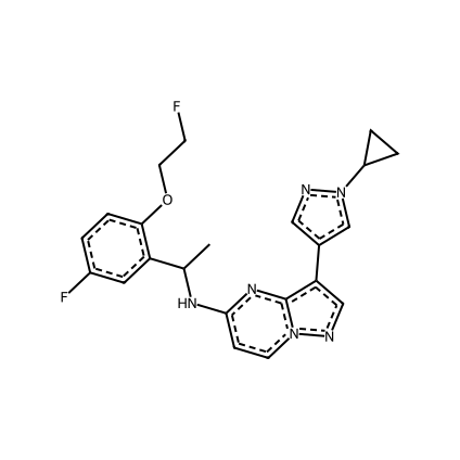 CC(Nc1ccn2ncc(-c3cnn(C4CC4)c3)c2n1)c1cc(F)ccc1OCCF